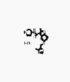 Cc1ncsc1COc1ccc2oc(C)c(C(=O)NC3CCNCC3)c2c1.Cl